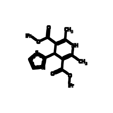 CC1=C(C(=O)OC(C)C)C(c2nccs2)C(C(=O)OC(C)C)=C(C)N1